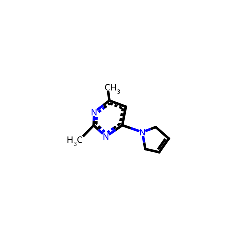 Cc1cc(N2CC=CC2)nc(C)n1